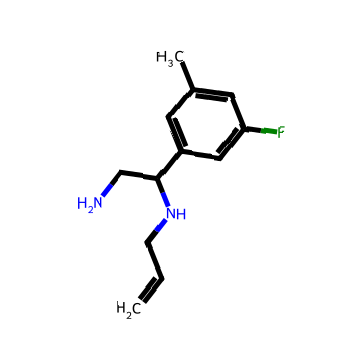 C=CCNC(CN)c1cc(C)cc(F)c1